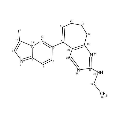 Cc1cnc2ccc(C3=CCCCc4nc(NCC(F)(F)F)ncc43)nn12